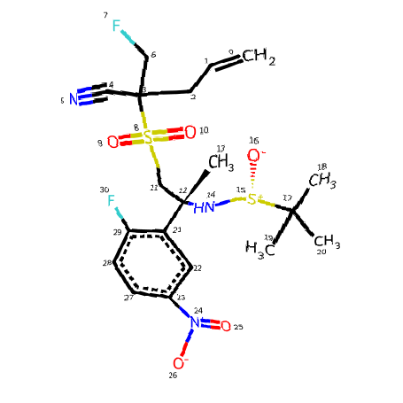 C=CCC(C#N)(CF)S(=O)(=O)C[C@](C)(N[S@+]([O-])C(C)(C)C)c1cc([N+](=O)[O-])ccc1F